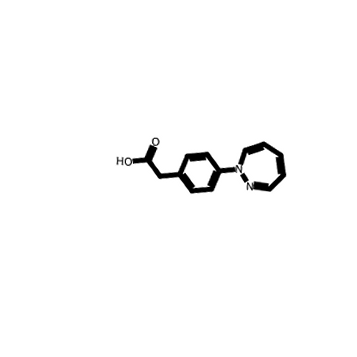 O=C(O)Cc1ccc(N2C=CC=CC=N2)cc1